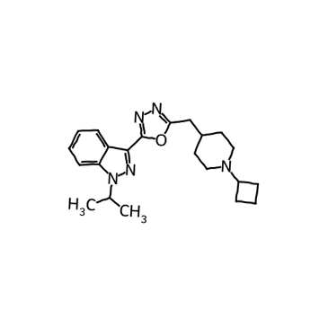 CC(C)n1nc(-c2nnc(CC3CCN(C4CCC4)CC3)o2)c2ccccc21